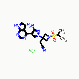 CC(C)S(=O)(=O)N1CC(CC#N)(n2cc(-c3ncnc4[nH]ccc34)c(N)n2)C1.Cl